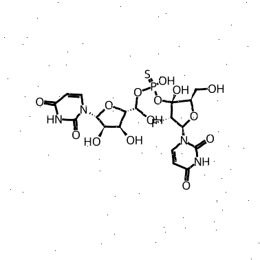 O=c1ccn([C@@H]2O[C@H](C(O)OP(O)(=S)O[C@]3(O)[C@@H](CO)O[C@@H](n4ccc(=O)[nH]c4=O)[C@@H]3F)[C@@H](O)[C@H]2O)c(=O)[nH]1